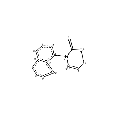 O=C1OCC=NN1c1cccc2ccccc12